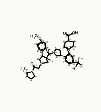 CC[C@H]1CN(C(=O)[C@]2(F)CN(CC(=O)N3CCC[C@@H]3C)C[C@H]2c2ccc(OC)cc2)C[C@@H]1c1ccc(C(F)(F)F)cc1N1CCC(C(=O)O)CC1